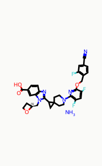 N.N#Cc1ccc(COc2nc(N3CCC4(CC3)CC4c3nc4ccc(C(=O)O)cc4n3C[C@@H]3CCO3)c(F)cc2F)c(F)c1